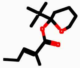 CCC=C(C)C(=O)OC1([Si](C)(C)C)CCCCO1